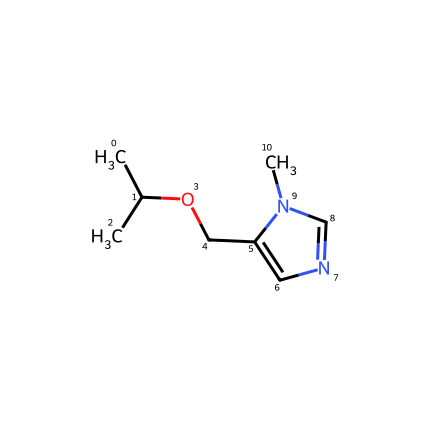 CC(C)OCc1cncn1C